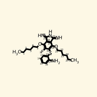 CCCCCCOc1c(F)c(Sc2ccccc2N)c(OCCCCCC)c2c1C(=N)NC2=N